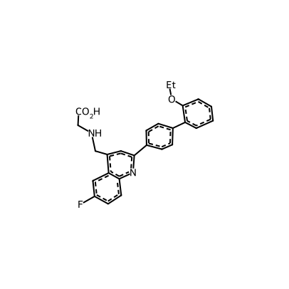 CCOc1ccccc1-c1ccc(-c2cc(CNCC(=O)O)c3cc(F)ccc3n2)cc1